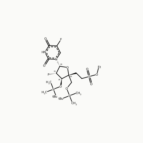 CCOS(=O)(=O)CC[C@]1(CO[Si](C)(C)C(C)(C)C)O[C@@H](n2cc(F)c(=O)[nH]c2=O)[C@@H](F)[C@@H]1O[Si](C)(C)C(C)(C)C